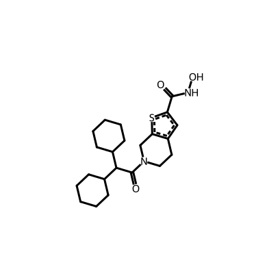 O=C(NO)c1cc2c(s1)CN(C(=O)C(C1CCCCC1)C1CCCCC1)CC2